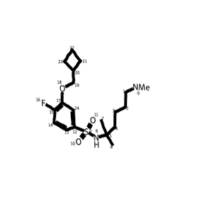 CNCCCCC(C)(C)NS(=O)(=O)c1ccc(F)c(OCC2CCC2)c1